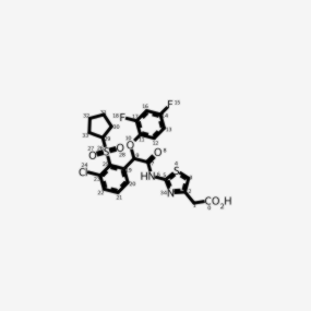 O=C(O)Cc1csc(NC(=O)C(Oc2ccc(F)cc2F)c2cccc(Cl)c2S(=O)(=O)C2CCCC2)n1